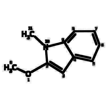 COc1cc2ccccc2n1C